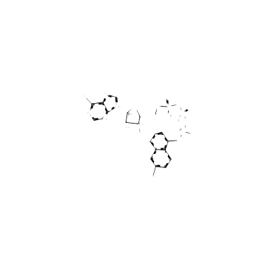 Nc1ncnc2c1ncn2[C@@H]1O[C@H](COP(=O)(O)OP(=O)(O)OP(=O)(O)Oc2cccc3cc(Cl)ccc23)[C@@H](O)[C@H]1O